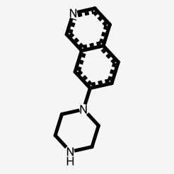 c1cc2ccc(N3CCNCC3)cc2cn1